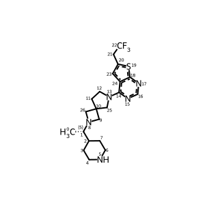 C[C@@H](C1CCNCC1)N1CC2(CCN(c3ncnc4sc(CC(F)(F)F)cc34)C2)C1